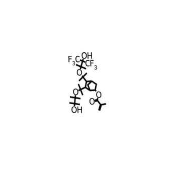 C=C(C)C(=O)OC1CC2CC1C(C(C)(C)OC(C)(C)C(C)(C)O)C2C(C)(C)OC(C)(C)C(O)(C(F)(F)F)C(F)(F)F